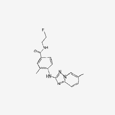 Cc1ccc2nc(Nc3ccc(C(=O)NCCF)cc3C)nn2c1